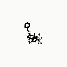 COC(=O)[C@]12C[C@@H]3C[C@H]1[C@H]2[C@]3(NC(=O)OCc1ccccc1)C(=O)O